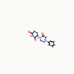 O=C1CCC(N2CCN(c3ccccc3)CC2=O)C(=O)N1